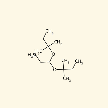 CCC(C)(C)OC(C[SiH3])OC(C)(C)CC